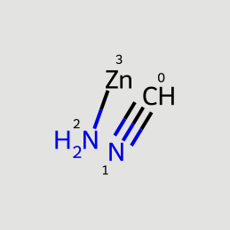 C#N.[NH2][Zn]